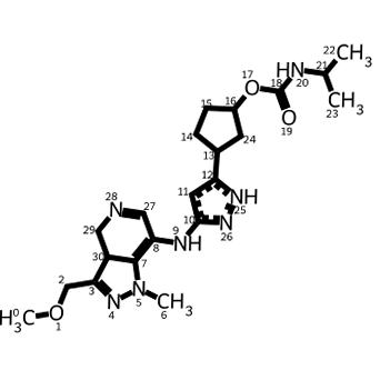 COCC1=NN(C)C2=C(Nc3cc(C4CCC(OC(=O)NC(C)C)C4)[nH]n3)C=NCC12